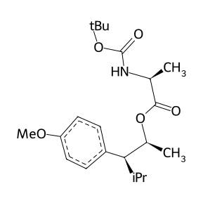 COc1ccc([C@H](C(C)C)[C@H](C)OC(=O)[C@H](C)NC(=O)OC(C)(C)C)cc1